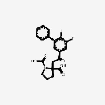 O=C(CC1(C(=O)O)CCCN1C(=O)O)c1cc(F)c(I)c(-c2ccccc2)c1